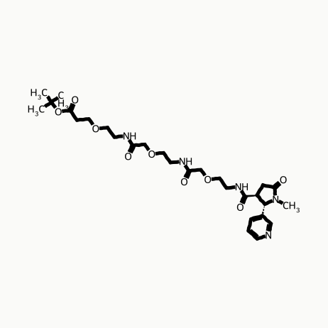 CN1C(=O)C[C@H](C(=O)NCCOCC(=O)NCCOCC(=O)NCCOCCC(=O)OC(C)(C)C)[C@H]1c1cccnc1